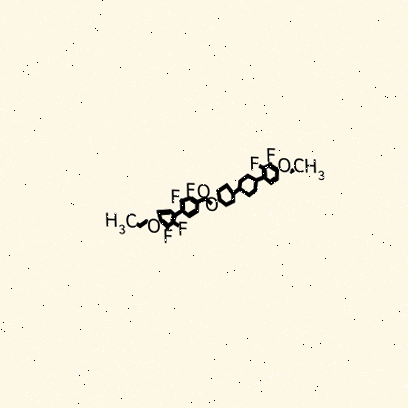 CCCOc1ccc(-c2ccc(C(=O)OC3CCC(C4CCC(c5ccc(OCC)c(F)c5F)CC4)CC3)c(F)c2F)c(F)c1F